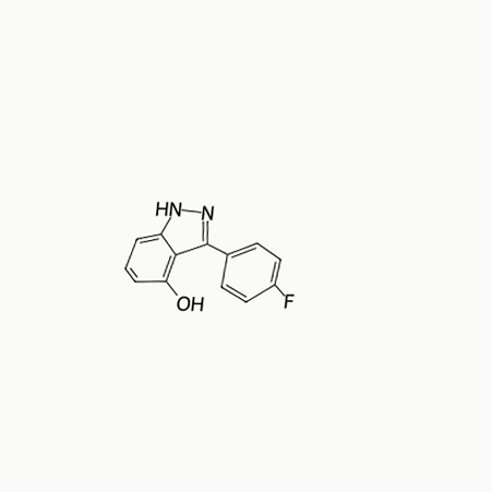 Oc1cccc2[nH]nc(-c3ccc(F)cc3)c12